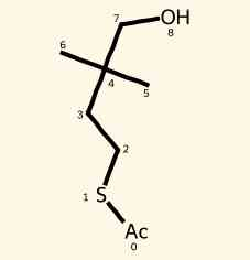 CC(=O)SCCC(C)(C)CO